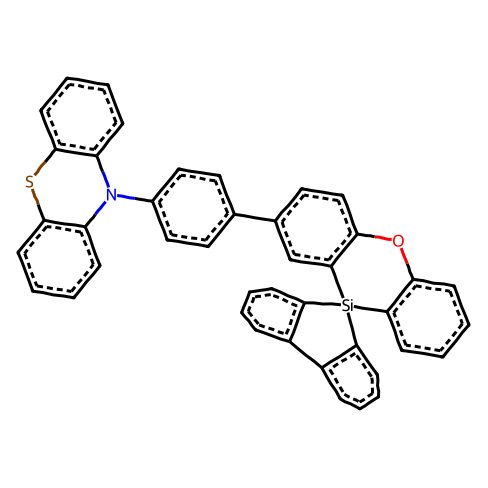 c1ccc2c(c1)Oc1ccc(-c3ccc(N4c5ccccc5Sc5ccccc54)cc3)cc1[Si]21c2ccccc2-c2ccccc21